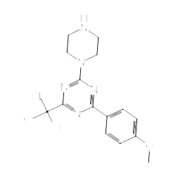 COc1ccc(-c2nc(N3CCNCC3)nc(C(Cl)(Cl)Cl)n2)cc1